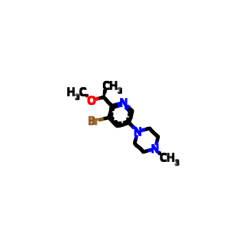 CO[C@@H](C)c1ncc(N2CCN(C)CC2)cc1Br